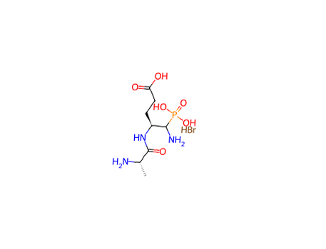 Br.C[C@H](N)C(=O)N[C@@H](CCC(=O)O)C(N)P(=O)(O)O